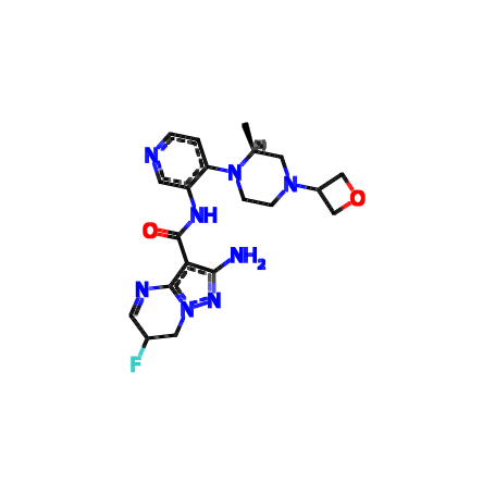 C[C@H]1CN(C2COC2)CCN1c1ccncc1NC(=O)c1c(N)nn2c1N=CC(F)C2